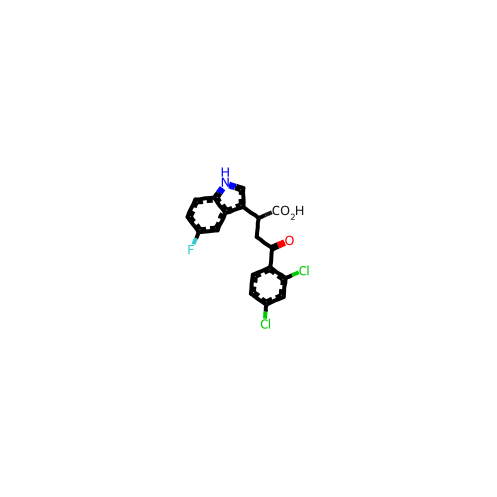 O=C(CC(C(=O)O)c1c[nH]c2ccc(F)cc12)c1ccc(Cl)cc1Cl